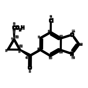 O=C(O)[C@H]1C[C@@H]1C(=O)c1cc(Cl)c2ocnc2c1